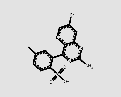 Cc1ccc(S(=O)(=O)O)c(-c2nc(N)nc3cc(Br)cnc23)c1